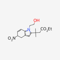 CCOC(=O)CC(C)(C)c1cc2c(n1CCO)C=CC([N+](=O)[O-])C2